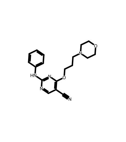 N#Cc1cnc(Nc2ccccc2)nc1OCCCN1CCOCC1